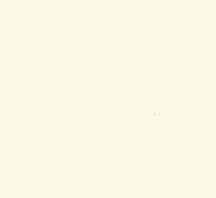 C[C@H]1CC1c1ccc(Br)cc1